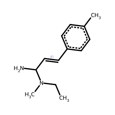 CCN(C)C(N)/C=C/c1ccc(C)cc1